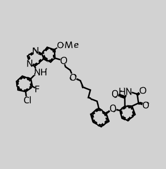 COc1cc2ncnc(Nc3cccc(Cl)c3F)c2cc1OCCOCCCCCc1ccccc1Oc1cccc2c1C(=O)NC(=O)C2=O